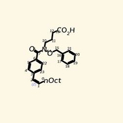 CCCCCCCC/C=C\c1ccc(C(=O)N(CCCC(=O)O)OCc2ccccc2)cc1